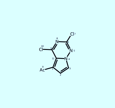 CC(=O)c1ccn2nc(Cl)nc(Cl)c12